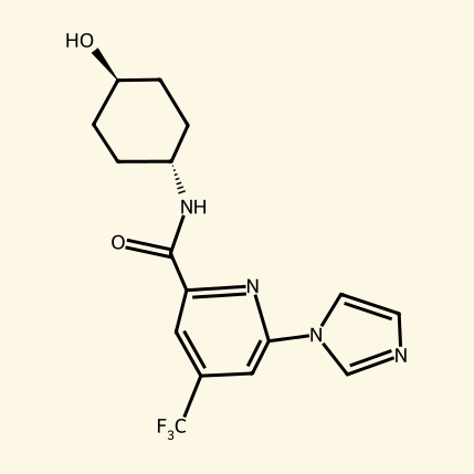 O=C(N[C@H]1CC[C@H](O)CC1)c1cc(C(F)(F)F)cc(-n2ccnc2)n1